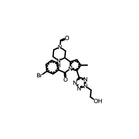 Cc1cc(C2CN(C=O)CCN2)n(C(=O)c2cccc(Br)c2)c1-c1nnn(CCO)n1